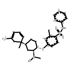 CCN(C)[C@H]1C[C@@H](C2(C)C=CC=C(C(F)(F)F)C2)CC[C@@H]1Oc1ccc(S(=O)(=O)Nc2ccncn2)c(C)n1